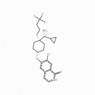 N[C@H](C1CC1)[C@]1(CCCC(F)(F)F)CC[C@@H](Oc2cc3cc[nH]c(=O)c3cc2Cl)CC1